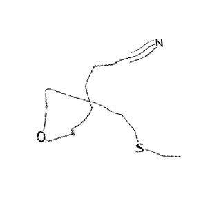 CSCC1(CC#N)COC1